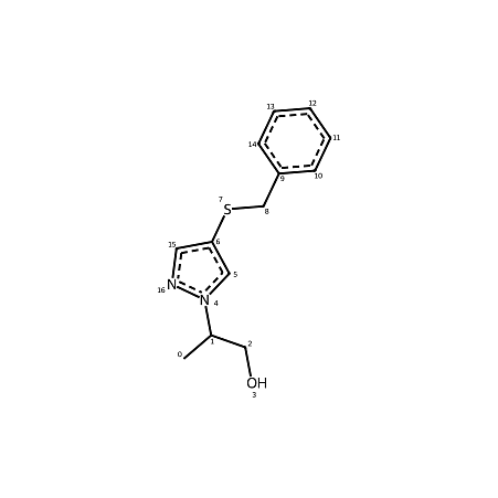 CC(CO)n1cc(SCc2ccccc2)cn1